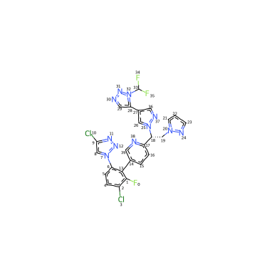 Fc1c(Cl)ccc(-n2cc(Cl)nn2)c1-c1ccc([C@@H](Cn2cccn2)n2cc(-c3cnnn3C(F)F)cn2)nc1